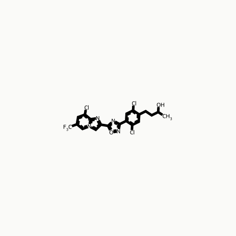 CC(O)CCc1cc(Cl)c(-c2noc(-c3cn4cc(C(F)(F)F)cc(Cl)c4n3)n2)cc1Cl